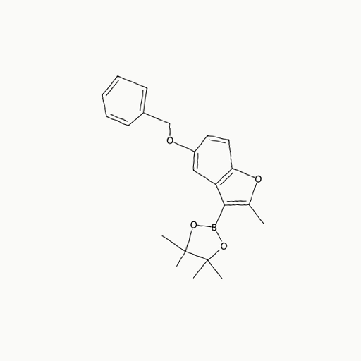 Cc1oc2ccc(OCc3ccccc3)cc2c1B1OC(C)(C)C(C)(C)O1